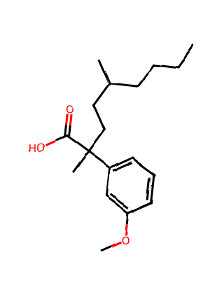 CCCCC(C)CCC(C)(C(=O)O)c1cccc(OC)c1